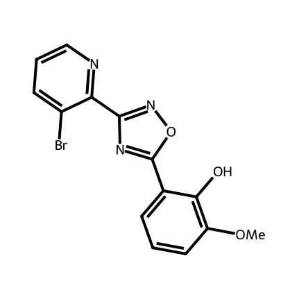 COc1cccc(-c2nc(-c3ncccc3Br)no2)c1O